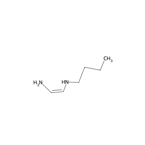 CCCCN/C=C\N